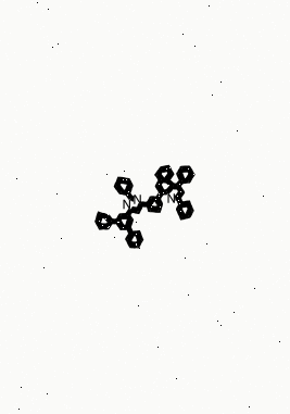 c1ccc(-c2cc(-c3ccccc3)cc(-c3cc(-c4cccc(-c5cc6ccccc6c6c(-c7ccccc7)cc(-c7ccccc7)nc56)c4)nc(-c4ccccc4)n3)c2)cc1